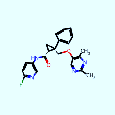 Cc1ncc(OC[C@@]2(c3ccccc3)C[C@H]2C(=O)Nc2ccc(F)nc2)c(C)n1